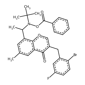 Cc1cc(C(C)N(OC(=O)c2ccccc2)C(C)(C)C)c2occ(Cc3cc(F)ccc3Br)c(=O)c2c1